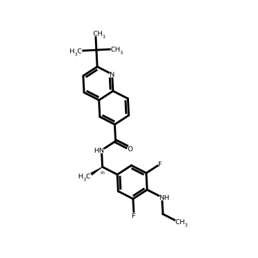 CCNc1c(F)cc([C@@H](C)NC(=O)c2ccc3nc(C(C)(C)C)ccc3c2)cc1F